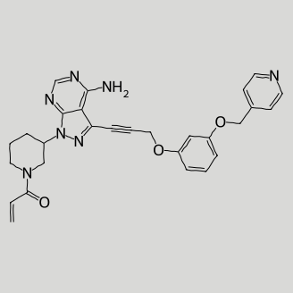 C=CC(=O)N1CCCC(n2nc(C#CCOc3cccc(OCc4ccncc4)c3)c3c(N)ncnc32)C1